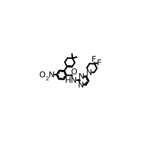 CC1(C)CC=C(c2cc([N+](=O)[O-])ccc2C(=O)Nc2nccc(N3CCC(F)(F)CC3)n2)CC1